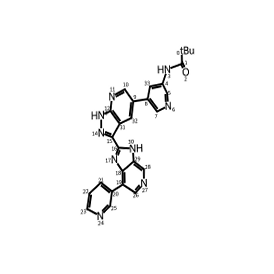 CC(C)(C)C(=O)Nc1cncc(-c2cnc3[nH]nc(-c4nc5c(-c6cccnc6)cncc5[nH]4)c3c2)c1